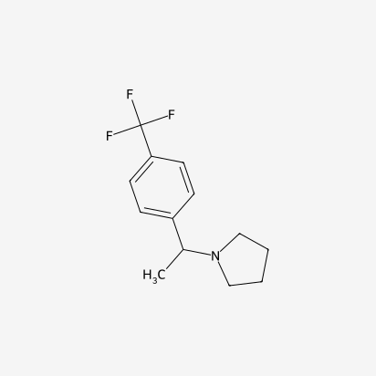 CC(c1ccc(C(F)(F)F)cc1)N1CCCC1